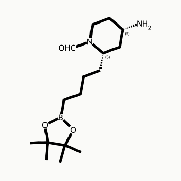 CC1(C)OB(CCCC[C@H]2C[C@@H](N)CCN2C=O)OC1(C)C